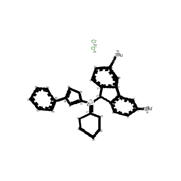 CC(C)(C)c1ccc2c(c1)-c1cc(C(C)(C)C)ccc1[CH]2[Zr+2]([C]1=CC(c2ccccc2)=CC1)=[C]1CCCCC1.[Cl-].[Cl-]